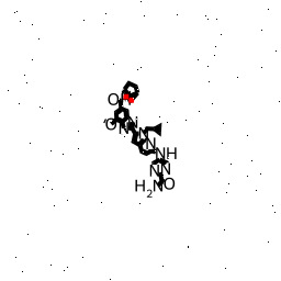 COc1cc(C(=O)N2CC3CCC2[C@@H]3C)cc2nc(-c3cc4ccc(Nc5cnc(C(N)=O)nc5)nc4n3CC3CC3)n(C)c12